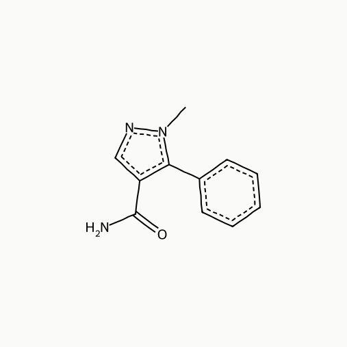 Cn1ncc(C(N)=O)c1-c1ccccc1